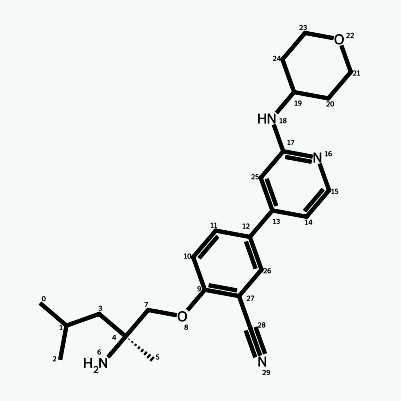 CC(C)C[C@](C)(N)COc1ccc(-c2ccnc(NC3CCOCC3)c2)cc1C#N